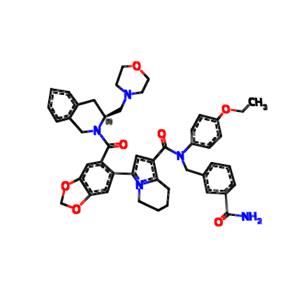 CCOc1ccc(N(Cc2cccc(C(N)=O)c2)C(=O)c2cc(-c3cc4c(cc3C(=O)N3Cc5ccccc5C[C@H]3CN3CCOCC3)OCO4)n3c2CCCC3)cc1